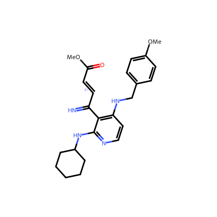 COC(=O)/C=C/C(=N)c1c(NCc2ccc(OC)cc2)ccnc1NC1CCCCC1